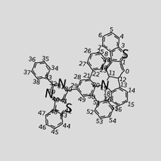 C1=c2sc3ccccc3c2=CC2C1c1ccccc1N2c1c(-c2ccccc2)cc(-c2nc(-c3ccccc3)nc3c2sc2ccccc23)cc1-c1ccccc1